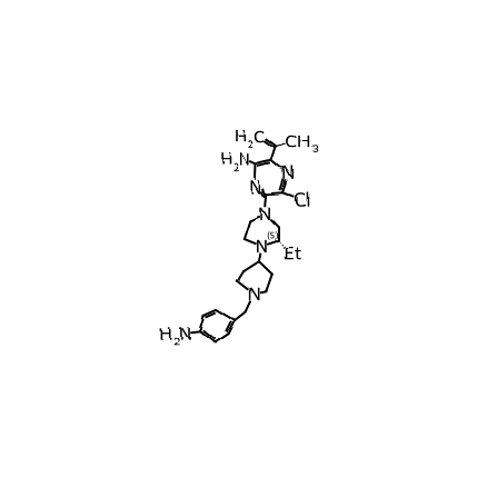 C=C(C)c1nc(Cl)c(N2CCN(C3CCN(Cc4ccc(N)cc4)CC3)[C@@H](CC)C2)nc1N